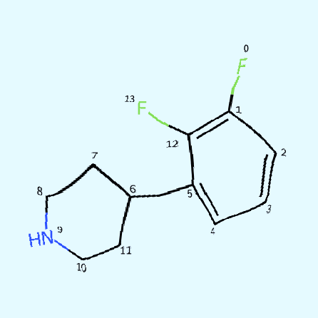 Fc1cccc(C2CCNCC2)c1F